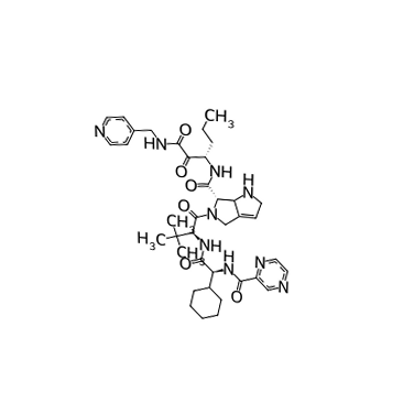 CCC[C@H](NC(=O)[C@@H]1C2NCC=C2CN1C(=O)[C@@H](NC(=O)[C@@H](NC(=O)c1cnccn1)C1CCCCC1)C(C)(C)C)C(=O)C(=O)NCc1ccncc1